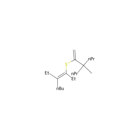 C=C(S/C(CC)=C(\CC)CCCC)C(C)(CCC)CCC